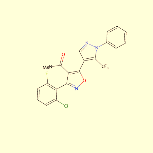 CNC(=O)c1c(-c2c(F)cccc2Cl)noc1-c1cnn(-c2ccccc2)c1C(F)(F)F